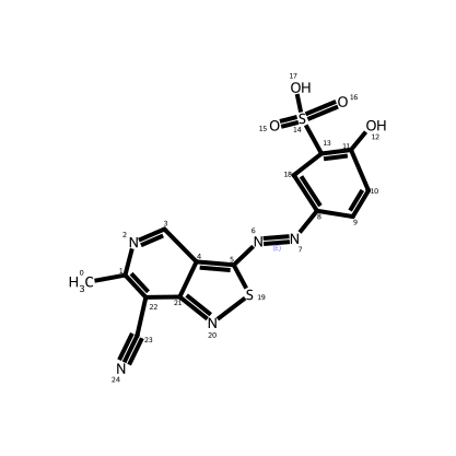 Cc1ncc2c(/N=N/c3ccc(O)c(S(=O)(=O)O)c3)snc2c1C#N